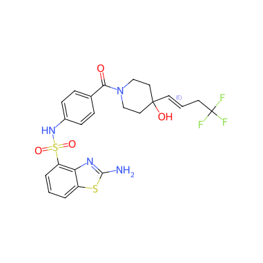 Nc1nc2c(S(=O)(=O)Nc3ccc(C(=O)N4CCC(O)(/C=C/CC(F)(F)F)CC4)cc3)cccc2s1